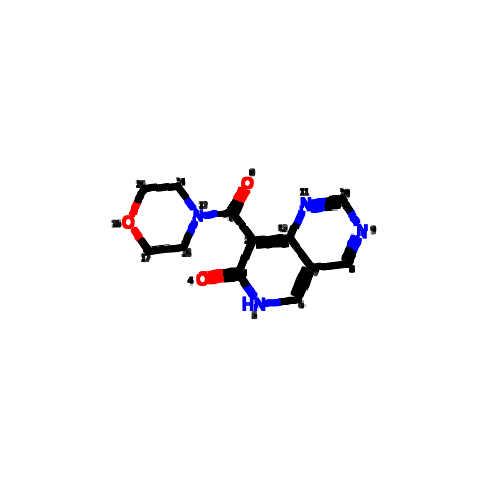 O=C(c1c(=O)[nH]cc2cncnc12)N1CCOCC1